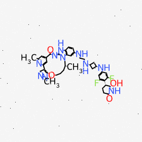 Cc1cc2cc(n1)-c1cnn(C)c1OCCC[C@@H](C)CN1/C(=N/C2=O)Nc2ccc(NCCN[C@H]3C[C@@H](Nc4cc(F)c([C@H]5CCC(=O)NC5O)c(F)c4)C3)cc21